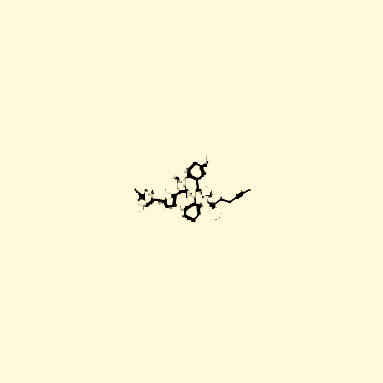 CC#CCCC(=O)Oc1ccccc1N1C(=O)c2cc(F)ccc2N(C)C1c1ccc(-c2csc(C)n2)s1